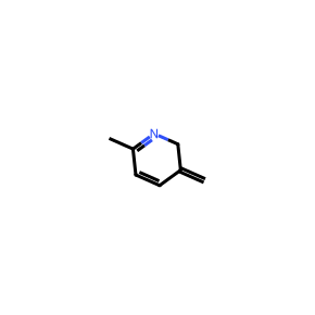 C=C1C=CC(C)=NC1